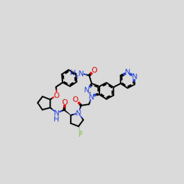 NC(=O)c1nn(CC(=O)N2C[C@H](F)C[C@H]2C(=O)NC2CCCC2OCc2ccccc2)c2ccc(-c3ccnnc3)cc12